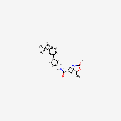 CC1OC(=O)N[C@]12C[C@@H](C(=O)N1CC3(CCC(c4cccc(C(C)(C)C)c4)C3)C1)C2